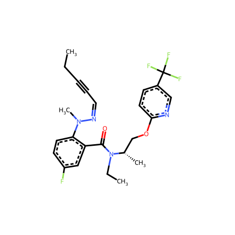 CCC#C/C=N\N(C)c1ccc(F)cc1C(=O)N(CC)[C@@H](C)COc1ccc(C(F)(F)F)cn1